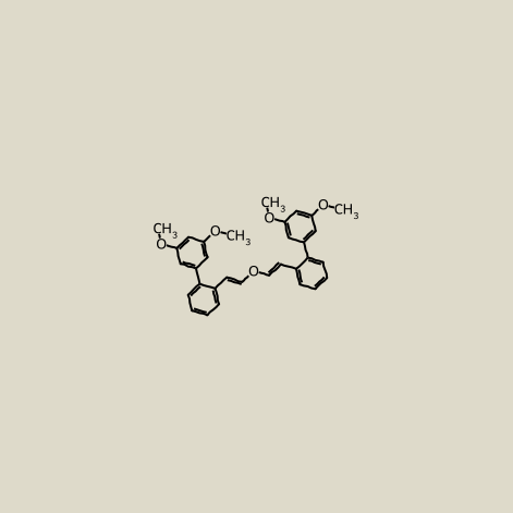 COc1cc(OC)cc(-c2ccccc2/C=C/O/C=C/c2ccccc2-c2cc(OC)cc(OC)c2)c1